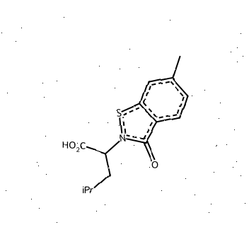 Cc1ccc2c(=O)n(C(CC(C)C)C(=O)O)sc2c1